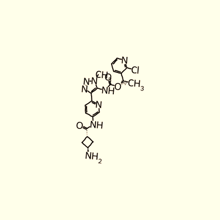 C[C@@H](OC(=O)Nc1c(-c2ccc(NC(=O)[C@H]3C[C@H](N)C3)cn2)nnn1C)c1cccnc1Cl